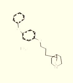 Cl.c1ccc(Oc2ccc(OCCCC3CN4CCC3CC4)cc2)cc1